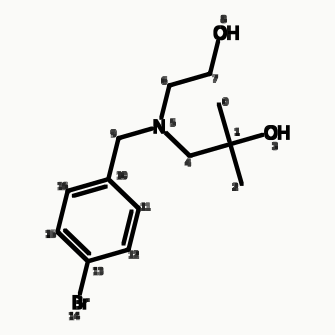 CC(C)(O)CN(CCO)Cc1ccc(Br)cc1